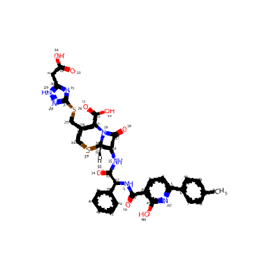 Cc1ccc(-c2ccc(C(=O)NC(C(=O)NC3C(=O)N4C(C(=O)O)=C(CSc5n[nH]c(CC(=O)O)n5)CS[C@@H]34)c3ccccc3)c(O)n2)cc1